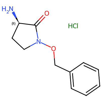 Cl.N[C@@H]1CCN(OCc2ccccc2)C1=O